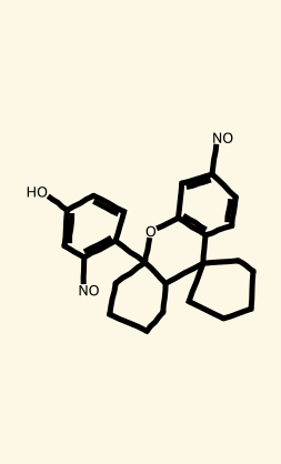 O=Nc1ccc2c(c1)OC1(c3ccc(O)cc3N=O)CCCCC1C21CCCCC1